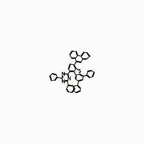 c1ccc(-c2cc(-c3ccccc3)c3sc4c(-c5cc6ccccc6c6ccccc56)ccc(-c5nc(-c6ccccc6)nc(-c6ccccc6)n5)c4c3c2)cc1